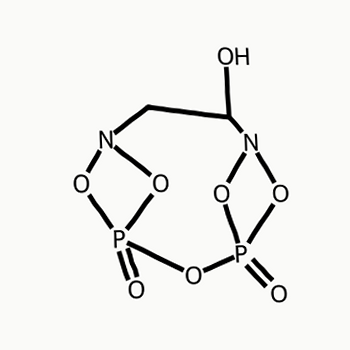 O=P12ON(CC(O)N3OP(=O)(O3)O1)O2